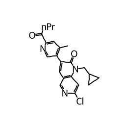 CCCC(=O)c1cc(C)c(-c2cc3cnc(Cl)cc3n(CC3CC3)c2=O)cn1